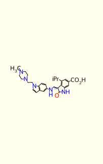 CC(C)c1cc(C(=O)O)cc2c1/C(=C/Nc1ccc3c(ccn3CCN3CCN(C)CC3)c1)C(=O)N2